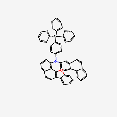 c1ccc([Si](c2ccccc2)(c2ccccc2)c2ccc(N(c3ccc4c(ccc5ccccc54)c3)c3cccc4ccc5c6ccccc6oc5c34)cc2)cc1